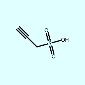 C#C[CH]S(=O)(=O)O